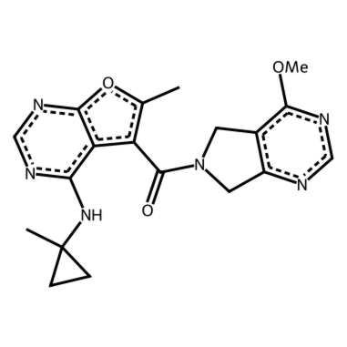 COc1ncnc2c1CN(C(=O)c1c(C)oc3ncnc(NC4(C)CC4)c13)C2